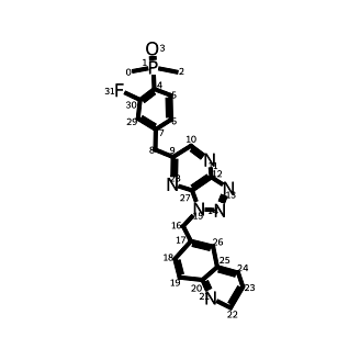 CP(C)(=O)c1ccc(Cc2cnc3nnn(Cc4ccc5ncccc5c4)c3n2)cc1F